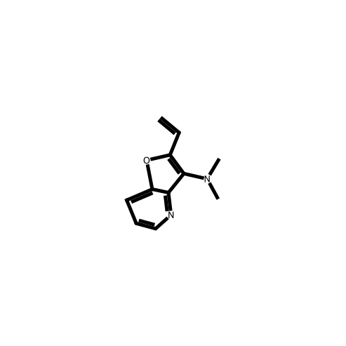 C=Cc1oc2cccnc2c1N(C)C